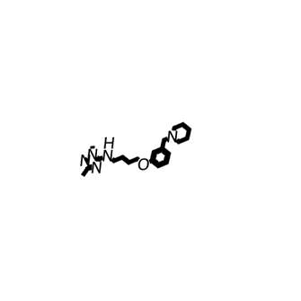 Cc1nc(NCCCCOc2cccc(CN3CCCCC3)c2)n(C)n1